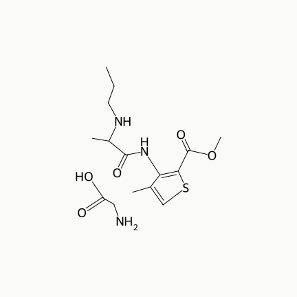 CCCNC(C)C(=O)Nc1c(C)csc1C(=O)OC.NCC(=O)O